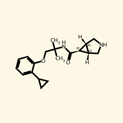 CC(C)(COc1ccccc1C1CC1)NC(=O)[C@H]1[C@@H]2CNC[C@@H]21